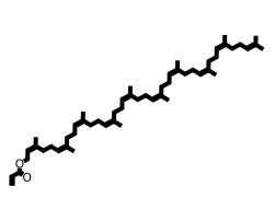 C=CC(=O)OCC=C(C)CCC=C(C)CCC=C(C)CCC=C(C)CCC=C(C)CCC=C(C)CCC=C(C)CCC=C(C)CCC=C(C)CCC=C(C)C